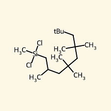 CC(CC(C)(C)CC(C)(C)CC(C)(C)C)C[Si](C)(Cl)Cl